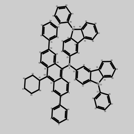 c1ccc(-c2ccc3c(N(c4ccc5c(c4)c4ccccc4n5-c4ccccc4)c4ccc5c(c4)c4ccccc4n5-c4ccccc4)c4cc(-c5ccccc5)ccc4c(C4CCCCC4)c3c2)cc1